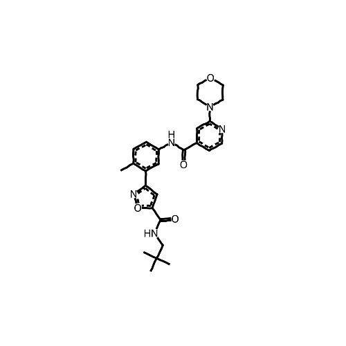 Cc1ccc(NC(=O)c2ccnc(N3CCOCC3)c2)cc1-c1cc(C(=O)NCC(C)(C)C)on1